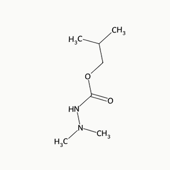 CC(C)COC(=O)NN(C)C